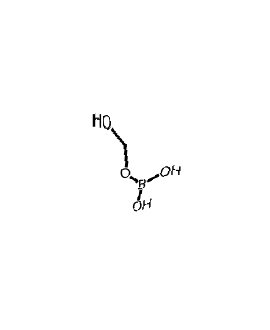 OCOB(O)O